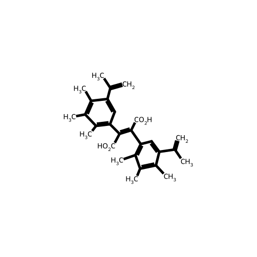 C=C(C)c1cc(C(C(=O)O)=C(C(=O)O)c2cc(C(=C)C)c(C)c(C)c2C)c(C)c(C)c1C